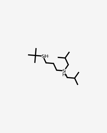 CC(C)C[SiH](CCC[SiH]C(C)(C)C)CC(C)C